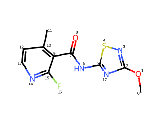 COc1nsc(NC(=O)c2c(C)ccnc2F)n1